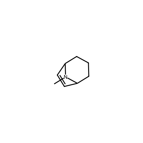 CN1C2C=CC1CCC2